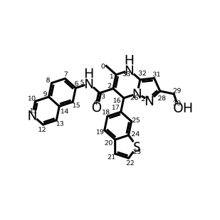 CC1=C(C(=O)Nc2ccc3cnccc3c2)C(c2ccc3ccsc3c2)n2nc(CO)cc2N1